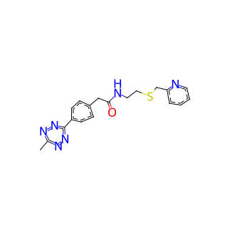 Cc1nnc(-c2ccc(CC(=O)NCCSCc3ccccn3)cc2)nn1